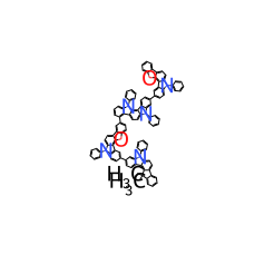 CC1(C)c2ccccc2-c2ccc3c(c21)c1ccc(-c2ccc4c(c2)c2c5oc6ccc(-c7cccc8c7c7ccc9c(c%10ccc(-c%11ccc%12c(c%11)c%11c%13oc%14ccccc%14c%13ccc%11n%12-c%11ccccc%11)cc%10n9-c9ccccc9)c7n8-c7ccccc7)cc6c5ccc2n4-c2ccccc2)cc1n3-c1ccccc1